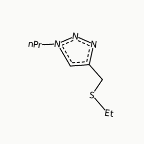 CCCn1cc(CSCC)nn1